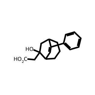 O=C(O)CC1(O)CC2CCCC1C=C2c1ccccc1